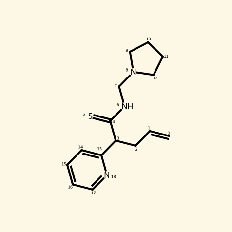 C=CCC(C(=S)NCN1CCCC1)c1ccccn1